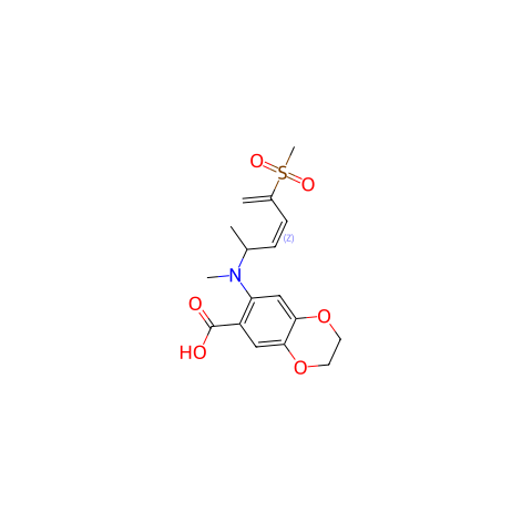 C=C(/C=C\C(C)N(C)c1cc2c(cc1C(=O)O)OCCO2)S(C)(=O)=O